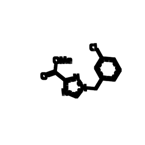 COC(=O)c1ncn(Cc2cccc(Cl)c2)n1